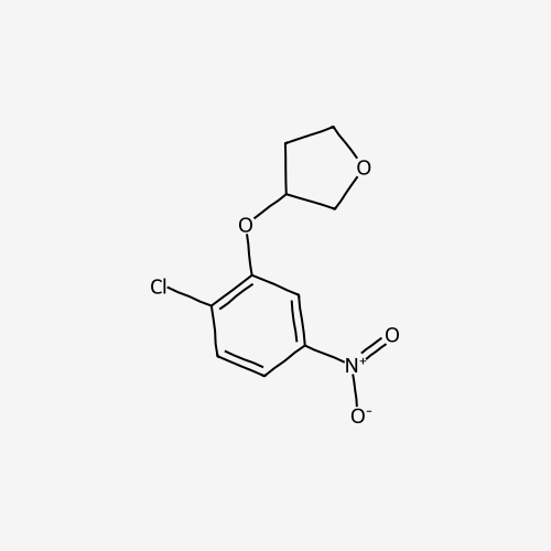 O=[N+]([O-])c1ccc(Cl)c(OC2CCOC2)c1